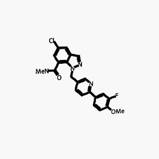 CNC(=O)c1cc(Cl)cc2cnn(Cc3ccc(-c4ccc(OC)c(F)c4)nc3)c12